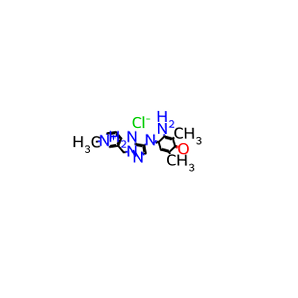 CC1=CC(=Nc2cnn(Cc3ccc[n+](C)c3)c2N)C(N)=C(C)C1=O.[Cl-]